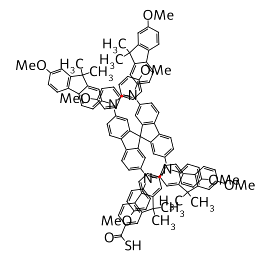 COc1ccc(N(c2ccc3c(c2)C(C)(C)c2cc(OC)ccc2-3)c2ccc3c(c2)C2(c4cc(N(c5ccc(OC)cc5)c5ccc6c(c5)C(C)(C)c5cc(OC)ccc5-6)ccc4-3)c3cc(N(c4ccc(OC)cc4)c4ccc5c(c4)C(C)(C)c4cc(OC)ccc4-5)ccc3-c3ccc(N(c4ccc(OC)cc4)c4ccc5c(c4)C(C)(C)c4cc(C(=O)S)ccc4-5)cc32)cc1